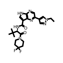 CCn1cc(-c2cnc3[nH]cc(C(=O)N[C@@H](C(=O)N4CCC(F)(F)CC4)C(C)(C)C)c3n2)cn1